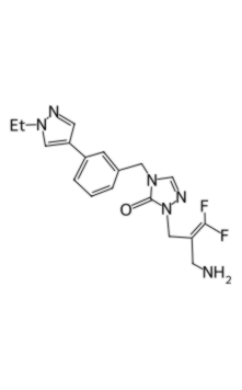 CCn1cc(-c2cccc(Cn3cnn(CC(CN)=C(F)F)c3=O)c2)cn1